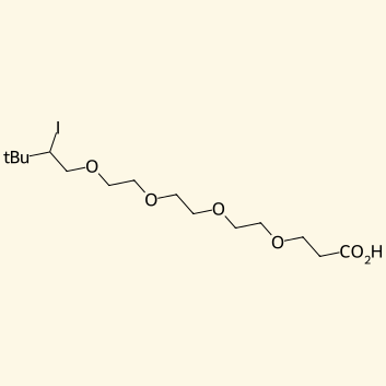 CC(C)(C)C(I)COCCOCCOCCOCCC(=O)O